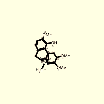 COC1=CC2C3Cc4ccc(OC)c(O)c4C2(CCN3C)CC1OC